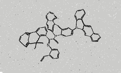 C=Cc1ccccc1/N=C(\C(=C)n1c2ccc(-n3c4ccccc4c4cc5ccccc5cc43)cc2c2c3ccccc3ccc21)c1cccc2c1C(C)(C)c1ccccc1-2